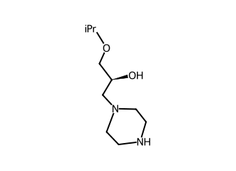 CC(C)OC[C@@H](O)CN1CCNCC1